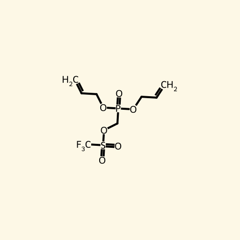 C=CCOP(=O)(COS(=O)(=O)C(F)(F)F)OCC=C